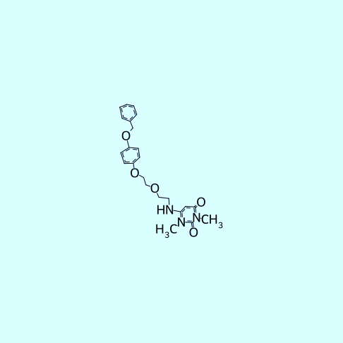 Cn1c(NCCOCCOc2ccc(OCc3ccccc3)cc2)cc(=O)n(C)c1=O